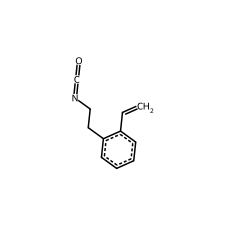 C=Cc1ccccc1CCN=C=O